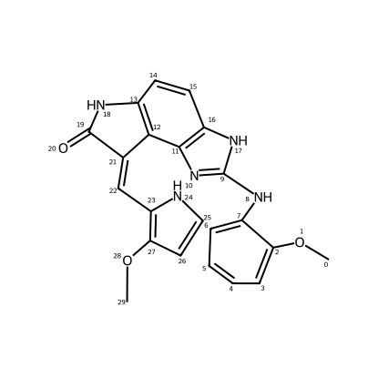 COc1ccccc1Nc1nc2c3c(ccc2[nH]1)NC(=O)/C3=C/c1[nH]ccc1OC